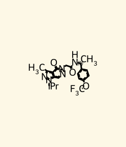 Cc1nn(C(C)C)c2cnn(CC(=O)N[C@@H](C)c3ccc(OC(F)(F)F)cc3)c(=O)c12